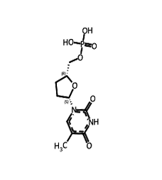 Cc1cn([C@@H]2CC[C@H](COP(=O)(O)O)O2)c(=O)[nH]c1=O